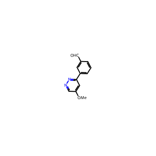 COc1cnnc(-c2cccc(C=O)c2)c1